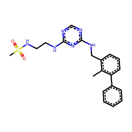 Cc1c(CNc2ncnc(NCCNS(C)(=O)=O)n2)cccc1-c1ccccc1